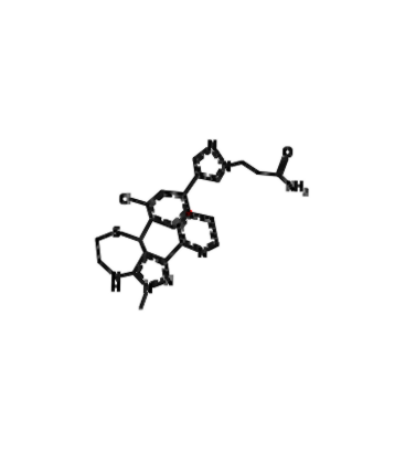 Cn1nc(-c2ccccn2)c2c1NCCSC2c1ccc(-c2cnn(CCC(N)=O)c2)cc1Cl